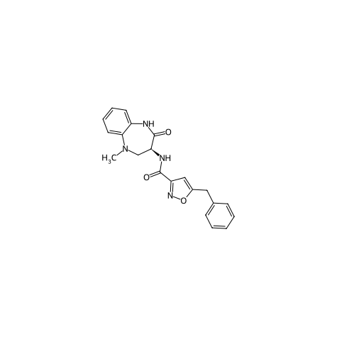 CN1C[C@H](NC(=O)c2cc(Cc3ccccc3)on2)C(=O)Nc2ccccc21